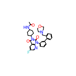 CC(=O)NC1CCC(n2c(=O)c3cc(F)cnc3n(-c3cccc(-c4ccccc4CN4CCOCC4)c3)c2=O)CC1